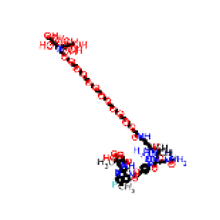 CC[C@@]1(O)C(=O)OCc2c1cc1n(c2=O)Cc2c-1nc1cc(F)c(C)c3c1c2[C@@H](NC(=O)OCc1ccc(NC(=O)[C@H](CCCNC(N)=O)NC(=O)[C@@H](NC(=O)[C@@H](N)CCCCNC(=O)CCOCCOCCOCCOCCOCCOCCOCCOCCOCCOCCOCCOCCN(C[C@H](O)[C@@H](O)[C@H](O)CO)C[C@H](O)[C@@H](O)[C@H](O)CO)C(C)C)cc1)CC3